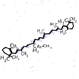 CC(C)=O.CC1=C(/C=C/C(C)=C/C=C/C(C)=C/C=C/C=C(C)/C=C/C=C(C)/C=C/C2=C(C)CCCC2(C)C)C(C)(C)CCC1